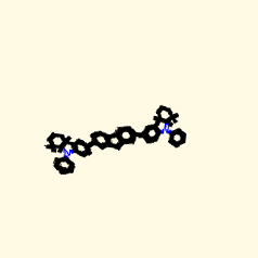 CC1(C)CCCC2(C)c3cc(-c4ccc5c(c4)Cc4cc(-c6ccc7c(c6)C6(C)CCCC(C)(C)C6(C)N7c6ccccc6)ccc4-5)ccc3N(c3ccccc3)C12C